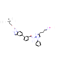 C[Si](C)(C)CCOCn1ncc2cc(-c3cccc(C(=O)Nc4nc(CCCC=NO)cn4-c4ccccc4)c3)ccc21